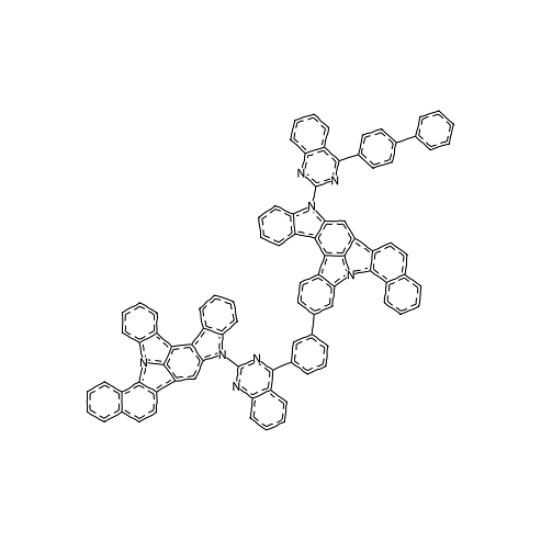 c1ccc(-c2ccc(-c3nc(-n4c5ccccc5c5c6c7ccc(-c8cccc(-c9nc(-n%10c%11ccccc%11c%11c%12c%13ccccc%13n%13c%14c%15ccccc%15ccc%14c(cc%11%10)c%12%13)nc%10ccccc9%10)c8)cc7n7c8c9ccccc9ccc8c(cc54)c67)nc4ccccc34)cc2)cc1